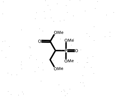 COCC(C(=O)OC)P(=O)(OC)OC